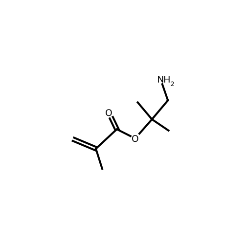 C=C(C)C(=O)OC(C)(C)CN